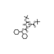 CC(C)(C)OC(=O)NC[C@H](NC(=O)OC(C)(C)C)C(=O)ON(C1CCCCC1)C1CCCCC1